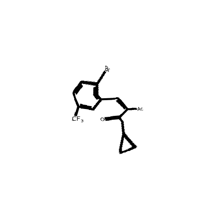 CC(=O)/C(=C/c1cc(C(F)(F)F)ccc1Br)C(=O)C1CC1